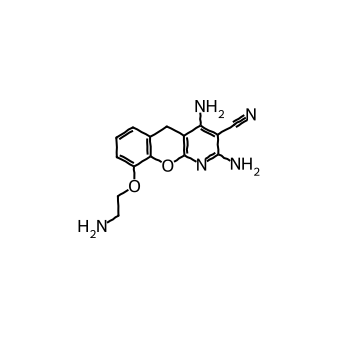 N#Cc1c(N)nc2c(c1N)Cc1cccc(OCCN)c1O2